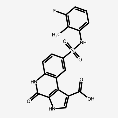 Cc1c(F)cccc1NS(=O)(=O)c1ccc2[nH]c(=O)c3[nH]cc(C(=O)O)c3c2c1